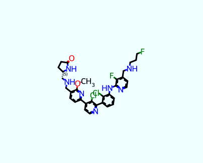 COc1nc(-c2ccnc(-c3cccc(Nc4nccc(CNCCCF)c4F)c3Cl)c2Cl)ccc1CNC[C@@H]1CCC(=O)N1